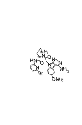 COc1ccc2c(c1)c1c(N)ncnc1n2CC(=O)N1[C@@H]2CC2C[C@H]1C(=O)Nc1cccc(Br)n1